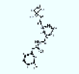 O=C(Cc1cccc(F)c1)NCc1ccnc(OCC2(F)COC2)c1